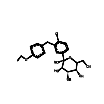 CCOc1ccc(Cc2cc([C@]3(O)OC(CO)[C@@H](O)[C@H](O)[C@H]3O)ccc2Cl)cc1